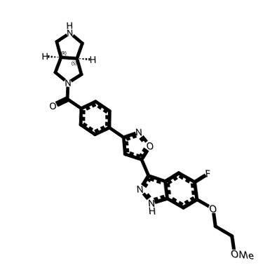 COCCOc1cc2[nH]nc(-c3cc(-c4ccc(C(=O)N5C[C@H]6CNC[C@H]6C5)cc4)no3)c2cc1F